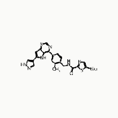 Cc1cc(-c2ncnc3cc(-c4cn[nH]c4)[nH]c23)ccc1CNC(=O)c1ncc(C(C)(C)C)s1